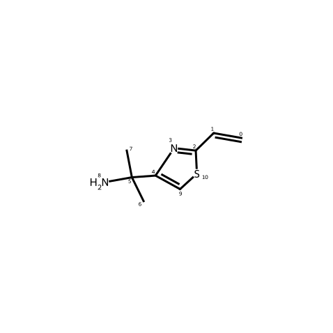 C=Cc1nc(C(C)(C)N)cs1